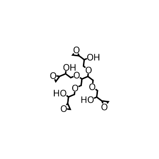 OC(COCC(OCC(O)C1CO1)C(COCC(O)C1CO1)OCC(O)C1CO1)C1CO1